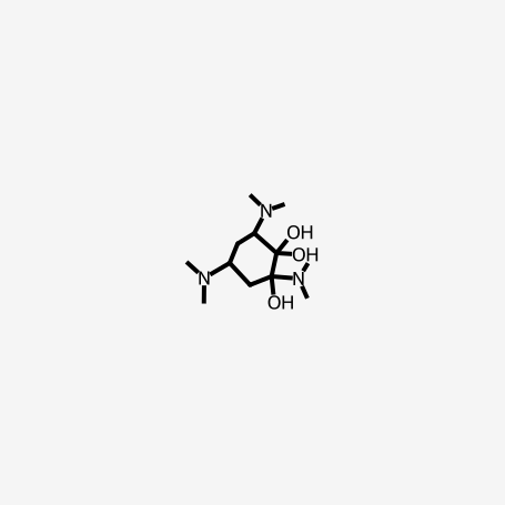 CN(C)C1CC(N(C)C)C(O)(O)C(O)(N(C)C)C1